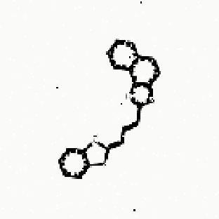 C(=Cc1nc2c(ccc3ccccc32)s1)C=C1Nc2ccccc2S1